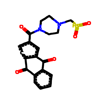 O=C1c2ccccc2C(=O)c2cc(C(=O)N3CCN(C[SH](=O)=O)CC3)ccc21